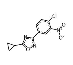 O=[N+]([O-])c1cc(-c2noc(C3CC3)n2)ccc1Cl